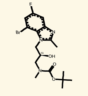 Cc1nc2cc(F)cc(Br)c2n1C[C@@H](O)CN(C)C(=O)OC(C)(C)C